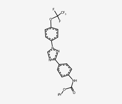 CC(C)OC(=O)Nc1ccc(-c2ncn(-c3ccc(OC(F)(F)C(F)(F)F)cc3)n2)cc1